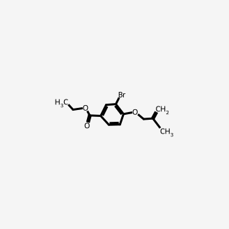 C=C(C)COc1ccc(C(=O)OCC)cc1Br